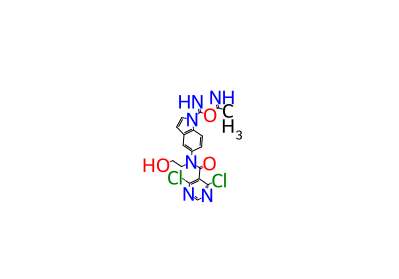 CC(=N)OC(=N)n1ccc2cc(N(CCO)C(=O)c3c(Cl)ncnc3Cl)ccc21